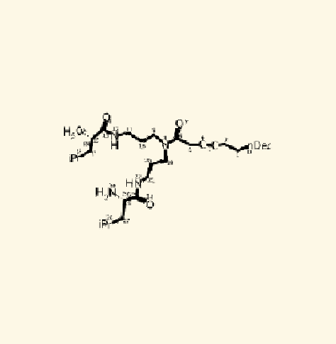 CCCCCCCCCCCCCCCC(=O)N(CCCNC(=O)[C@@H](C)CC(C)C)CCCNC(=O)[C@@H](N)CC(C)C